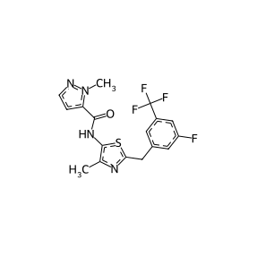 Cc1nc(Cc2cc(F)cc(C(F)(F)F)c2)sc1NC(=O)c1ccnn1C